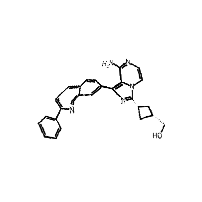 Nc1nccn2c1c(-c1ccc3ccc(-c4ccccc4)nc3c1)nc2[C@H]1C[C@@H](CO)C1